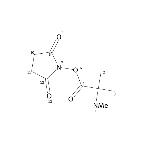 CNC(C)(C)C(=O)ON1C(=O)CCC1=O